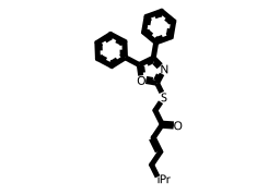 CC(C)C/C=C/C(=O)CSc1nc(-c2ccccc2)c(-c2ccccc2)o1